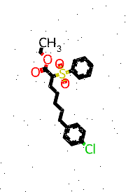 CCOC(=O)C(CCCCCc1ccc(Cl)cc1)S(=O)(=O)c1ccccc1